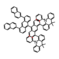 CC1(C)c2ccccc2N(c2ccccc2)c2c(-c3cccc4c(-c5c6cccc(-c7ccc8ccccc8c7)c6cc6c(-c7ccc8ccccc8c7)cccc56)c5cccc(-c6cccc7c6N(c6ccccc6)c6ccccc6C7(C)C)c5cc34)cccc21